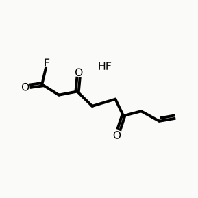 C=CCC(=O)CCC(=O)CC(=O)F.F